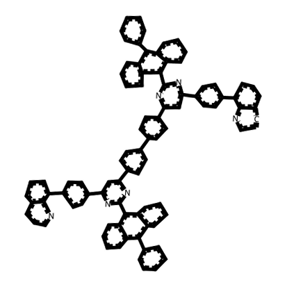 c1ccc(-c2c3ccccc3c(-c3nc(-c4ccc(-c5ccc(-c6cc(-c7ccc(-c8cccc9cccnc89)cc7)nc(-c7c8ccccc8c(-c8ccccc8)c8ccccc78)n6)cc5)cc4)cc(-c4ccc(-c5cccc6cccnc56)cc4)n3)c3ccccc23)cc1